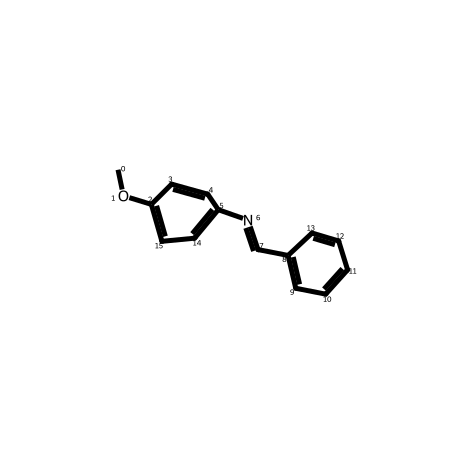 COc1ccc(N=Cc2ccccc2)cc1